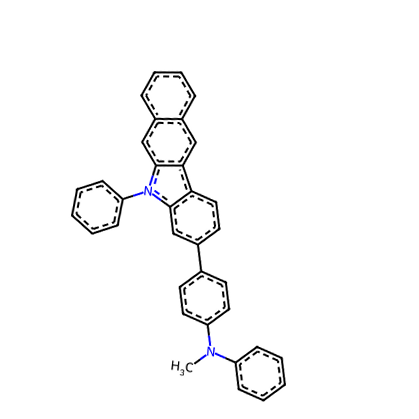 CN(c1ccccc1)c1ccc(-c2ccc3c4cc5ccccc5cc4n(-c4ccccc4)c3c2)cc1